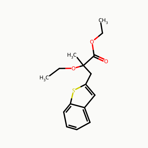 CCOC(=O)C(C)(Cc1cc2ccccc2s1)OCC